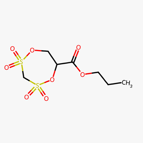 CCCOC(=O)C1COS(=O)(=O)CS(=O)(=O)O1